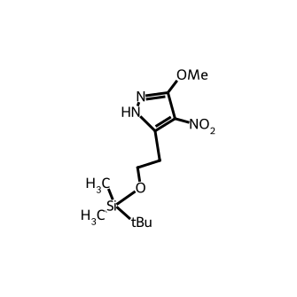 COc1n[nH]c(CCO[Si](C)(C)C(C)(C)C)c1[N+](=O)[O-]